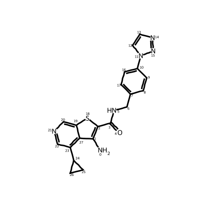 Nc1c(C(=O)NCc2ccc(-n3ccnn3)cc2)sc2cncc(C3CC3)c12